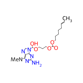 CC=CCCCCCOC(=O)OCCCOC(O)n1cnc2c(NC)nc(N)nc21